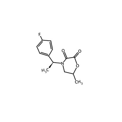 CC1CN([C@@H](C)c2ccc(F)cc2)C(=O)C(=O)O1